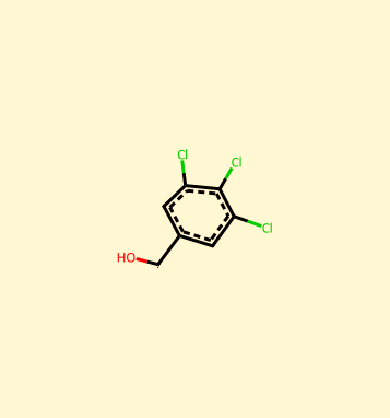 O[CH]c1cc(Cl)c(Cl)c(Cl)c1